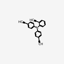 C#Cc1ccc(N(c2ccc(C#C)cc2)c2ccccc2C#C)cc1